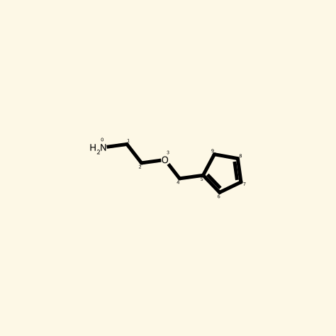 NCCOCC1=CC=CC1